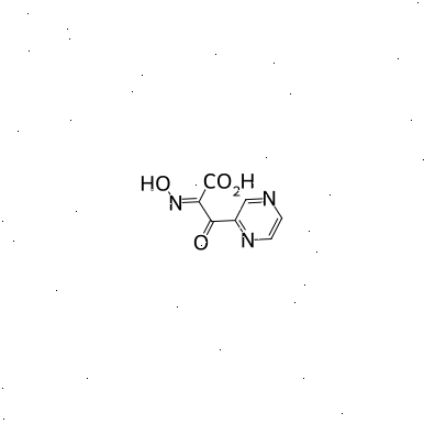 O=C(O)/C(=N\O)C(=O)c1cnccn1